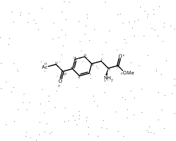 COC(=O)[C@@H](N)CC1C=CC(C(=O)CC(C)=O)=CC1